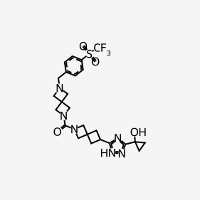 O=C(N1CC2(CC(c3nc(C4(O)CC4)n[nH]3)C2)C1)N1CC2(CN(Cc3ccc(S(=O)(=O)C(F)(F)F)cc3)C2)C1